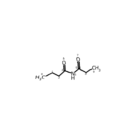 CCCC(=O)NC(=O)CC